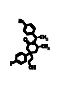 C[C@@H]1CC(CCO)(c2ccc(F)cc2)CC(=O)N1[C@@H](C)c1ccc(Br)cc1